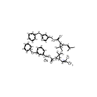 CC(C)=CC1C(C(=O)OCc2coc(Cc3ccccc3)c2)C1(C)C.CC1(C)[C@H](C(=O)O[C@H](C#N)c2cccc(Oc3ccccc3)c2)[C@@H]1/C=C(\Cl)C(F)(F)F